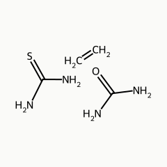 C=C.NC(N)=O.NC(N)=S